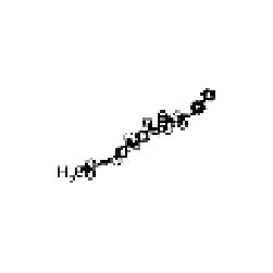 C=CC(=O)OCCCCOc1ccc(C(=O)Oc2ccc(C(=O)O[C@H]3CO[C@H]4[C@@H]3OC[C@H]4OC(=O)/C=C/c3ccc(-c4ccccc4)cc3)cc2)cc1